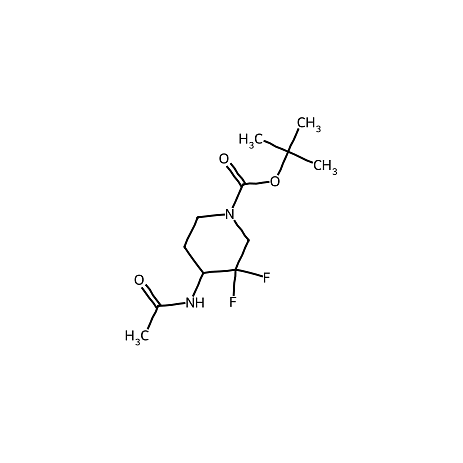 CC(=O)NC1CCN(C(=O)OC(C)(C)C)CC1(F)F